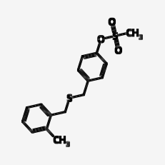 Cc1ccccc1CSCc1ccc(OS(C)(=O)=O)cc1